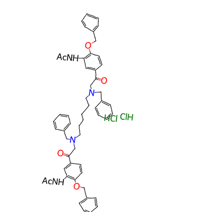 CC(=O)Nc1cc(C(=O)CN(CCCCCCN(CC(=O)c2ccc(OCc3ccccc3)c(NC(C)=O)c2)Cc2ccccc2)Cc2ccccc2)ccc1OCc1ccccc1.Cl.Cl